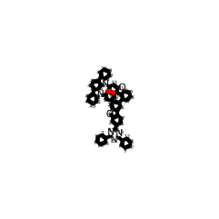 c1ccc(-c2nc(-c3ccccc3)nc(-c3ccc4c(c3)oc3ccc(-c5cccc6oc7cc(-n8c9ccccc9c9ccc%10c%11ccccc%11n(-c%11ccccc%11)c%10c98)ccc7c56)cc34)n2)cc1